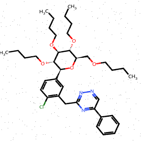 CCCCOC[C@H]1O[C@@H](c2ccc(Cl)c(Cc3nncc(-c4ccccc4)n3)c2)[C@H](OCCCC)[C@@H](OCCCC)[C@@H]1OCCCC